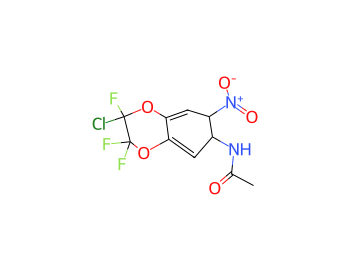 CC(=O)NC1C=C2OC(F)(F)C(F)(Cl)OC2=CC1[N+](=O)[O-]